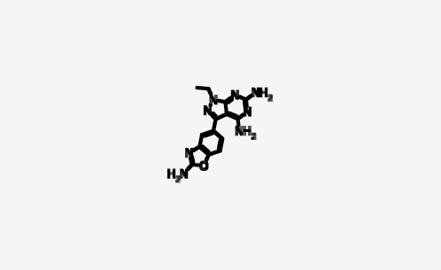 CCn1nc(-c2ccc3oc(N)nc3c2)c2c(N)nc(N)nc21